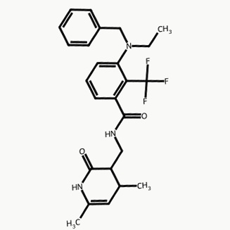 CCN(Cc1ccccc1)c1cccc(C(=O)NCC2C(=O)NC(C)=CC2C)c1C(F)(F)F